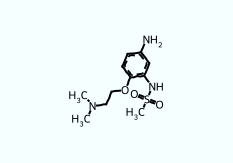 CN(C)CCOc1ccc(N)cc1NS(C)(=O)=O